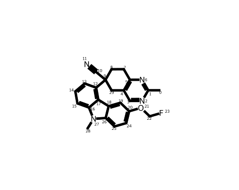 Cc1ncc2c(n1)CCC(C#N)(c1cccc3c1c1cc(OCF)ccc1n3C)C2